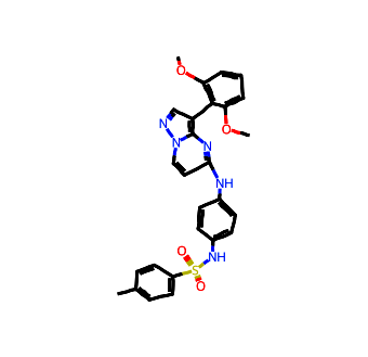 COc1cccc(OC)c1-c1cnn2ccc(Nc3ccc(NS(=O)(=O)c4ccc(C)cc4)cc3)nc12